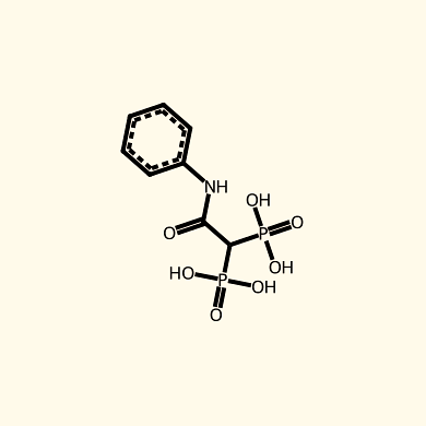 O=C(Nc1ccccc1)C(P(=O)(O)O)P(=O)(O)O